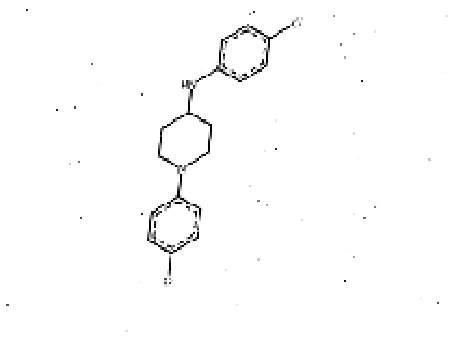 [O]c1ccc(N2CCC(Nc3ccc(Cl)cc3)CC2)cc1